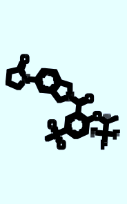 C[C@H](Oc1ccc(S(C)(=O)=O)cc1C(=O)N1Cc2ccc(N3CCCC3=O)cc2C1)C(F)(F)F